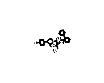 CCC(C)[C@@H](NC(=O)c1ccccc1-c1ccccc1)C(=O)N1CCC(c2ccc(Cl)cc2)CC1